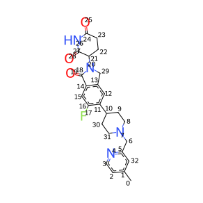 Cc1ccnc(CN2CCC(c3cc4c(cc3F)C(=O)N(C3CCC(=O)NC3=O)C4)CC2)c1